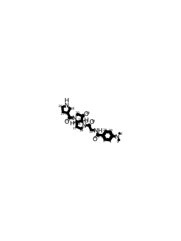 CN(C)c1ccc(C(=O)NCC(=O)N2CC[C@@H]3[C@H]2C(=O)CN3C(=O)C2CCNC2)cc1